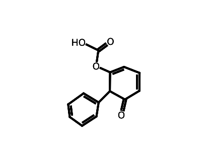 O=C(O)OC1=CC=CC(=O)C1c1ccccc1